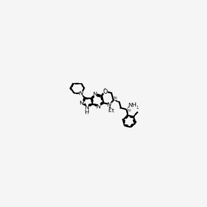 CCN1c2nc3[nH]nc(N4CCCCC4)c3nc2OC[C@H]1CC[C@H](N)c1ccccc1C